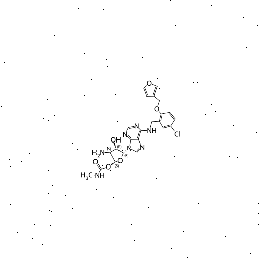 CNC(=O)O[C@@H]1O[C@@H](n2cnc3c(NCc4cc(Cl)ccc4OCc4ccoc4)ncnc32)[C@H](O)[C@@H]1N